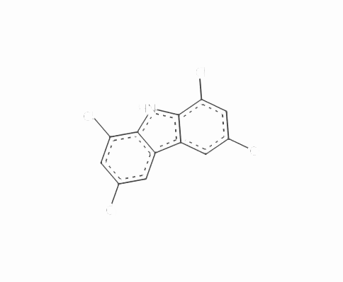 Clc1cc(Cl)c2[nH]c3c(Cl)cc(Cl)cc3c2c1